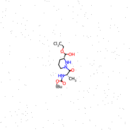 C[C@H](NC(=O)OC(C)(C)C)C(=O)N1CCC[C@@H](C(O)OCC(Cl)(Cl)Cl)N1